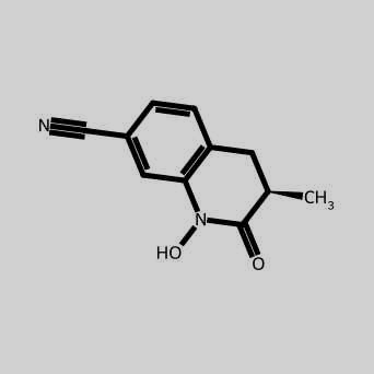 C[C@@H]1Cc2ccc(C#N)cc2N(O)C1=O